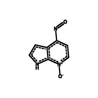 O=Nc1cc[n+]([O-])c2[nH]ccc12